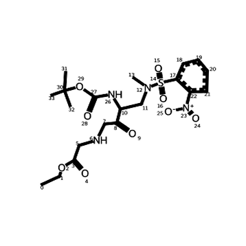 CCOC(=O)CNCC(=O)C(CN(C)S(=O)(=O)c1ccccc1[N+](=O)[O-])NC(=O)OC(C)(C)C